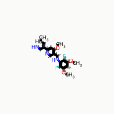 CB/C=C(\C=N)c1cc(OC)c(CNc2c(F)c(OC)cc(OC)c2F)cn1